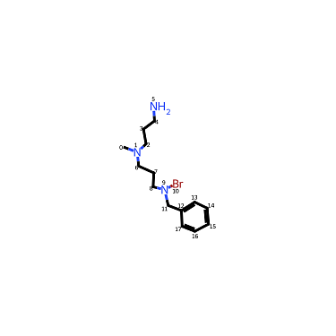 CN(CCCN)CCCN(Br)Cc1ccccc1